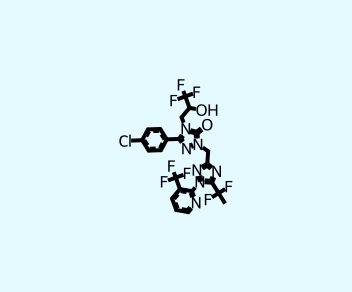 CC(F)(F)c1nc(Cn2nc(-c3ccc(Cl)cc3)n(CC(O)C(F)(F)F)c2=O)nn1-c1ncccc1C(F)(F)F